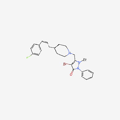 CCn1c(CN2CCC(C/C=C\c3ccc(F)cc3)CC2)c(Br)c(=O)n1-c1ccccc1